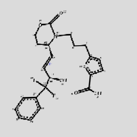 O=C(O)c1ccc(CCCN2C(=O)OCC[C@@H]2/C=C/[C@@H](O)C(F)(F)c2ccccc2)s1